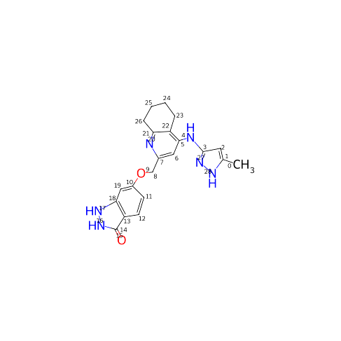 Cc1cc(Nc2cc(COc3ccc4c(=O)[nH][nH]c4c3)nc3c2CCCC3)n[nH]1